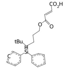 CC(C)(C)C(CCCOC(=O)C=CC(=O)O)[SiH](c1ccccc1)c1ccccc1